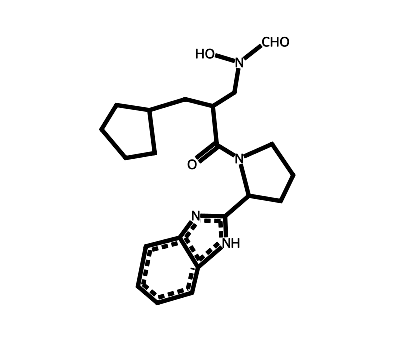 O=CN(O)CC(CC1CCCC1)C(=O)N1CCCC1c1nc2ccccc2[nH]1